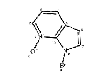 [O-][n+]1cccc2ccn(Br)c21